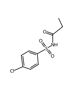 CCC(=O)NS(=O)(=O)c1ccc(Cl)cc1